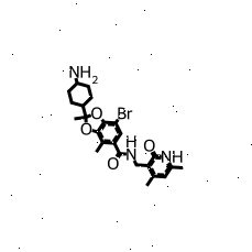 Cc1cc(C)c(CNC(=O)c2cc(Br)c3c(c2C)OC(C)(C2CCC(N)CC2)O3)c(=O)[nH]1